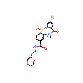 CC(C)c1cc2n(c1)[S+]([O-])c1ccc(C(=O)NCCC3COCCO3)cc1NC2=O